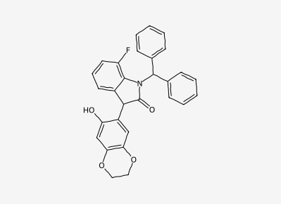 O=C1C(c2cc3c(cc2O)OCCO3)c2cccc(F)c2N1C(c1ccccc1)c1ccccc1